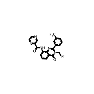 CC(C)Cn1c(-c2cccc(C(F)(F)F)c2)nc2c(NC(=O)c3cnccn3)cccc2c1=O